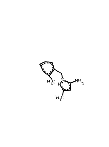 Cc1cc(N)n(Cc2ccccc2C)n1